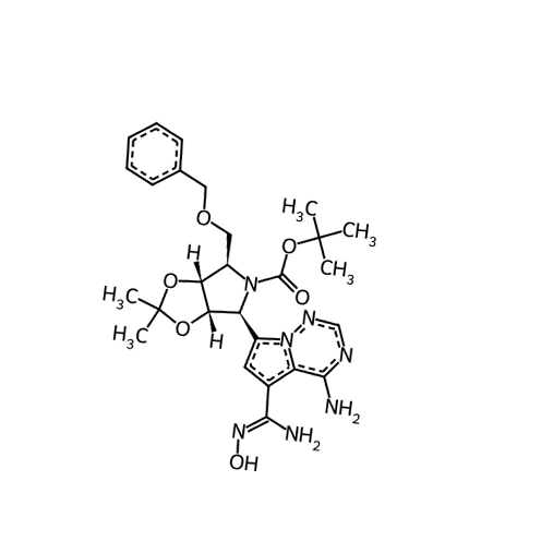 CC(C)(C)OC(=O)N1[C@H](COCc2ccccc2)[C@H]2OC(C)(C)O[C@H]2[C@@H]1c1cc(/C(N)=N/O)c2c(N)ncnn12